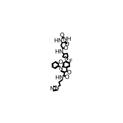 O=C(CC1NC(=O)NC1=O)NC1CCN(c2c(F)cc3c(=O)c(C(=O)NCCCn4ccnc4)cn4c3c2Oc2ccccc2-4)C1